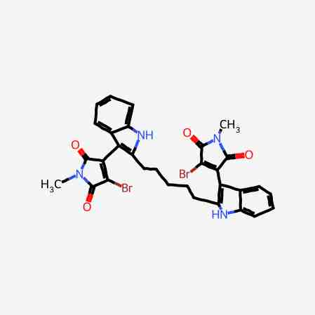 CN1C(=O)C(Br)=C(c2c(CCCCCc3[nH]c4ccccc4c3C3=C(Br)C(=O)N(C)C3=O)[nH]c3ccccc23)C1=O